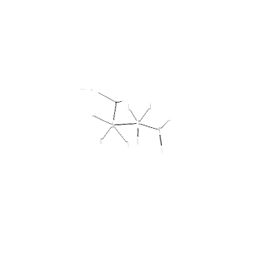 CC(C)I(I)(I)(I)I(I)(I)(I)I(I)I